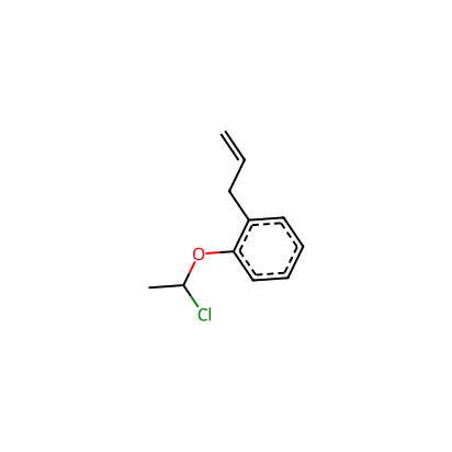 C=CCc1ccccc1OC(C)Cl